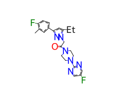 CCc1cc(-c2ccc(F)c(C)c2)nn1CC(=O)N1CCN(c2ncc(F)cn2)CC1